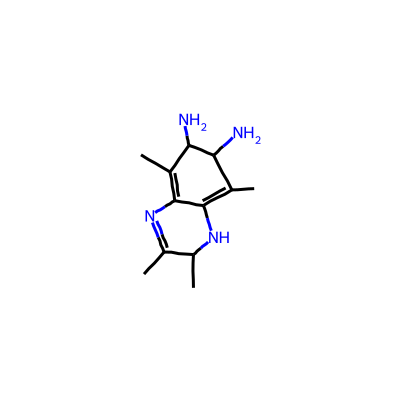 CC1=NC2=C(C)C(N)C(N)C(C)=C2NC1C